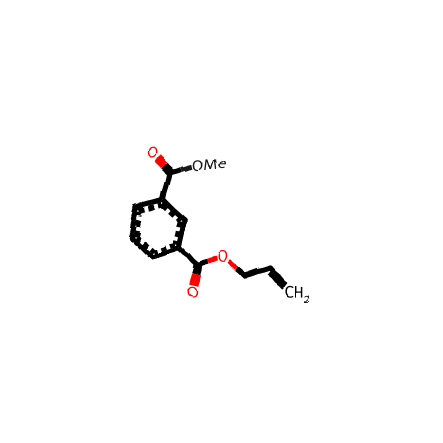 C=CCOC(=O)c1cccc(C(=O)OC)c1